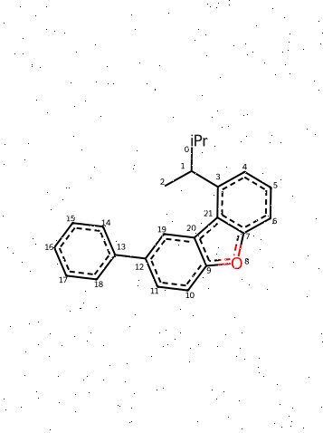 CC(C)C(C)c1cccc2oc3ccc(-c4ccccc4)cc3c12